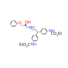 CCOC(=O)Nc1ccc(C(CCNC[C@H](O)COc2ccccc2)c2ccc(NC(=O)OCC)cc2)cc1